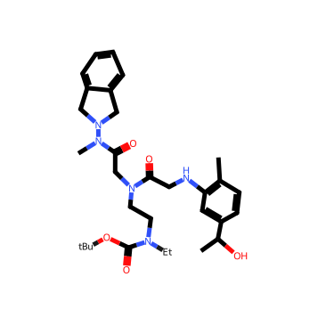 CCN(CCN(CC(=O)N(C)N1Cc2ccccc2C1)C(=O)CNc1cc(C(C)O)ccc1C)C(=O)OC(C)(C)C